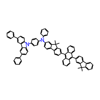 CC1(C)c2ccccc2-c2ccc(-c3c4ccccc4c(-c4ccc5c(c4)C(C)(C)c4cc(N(c6ccccc6)c6ccc(-n7c8ccc(-c9ccccc9)cc8c8cc(-c9ccccc9)ccc87)cc6)ccc4-5)c4ccccc34)cc21